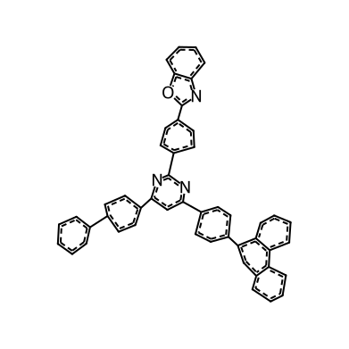 c1ccc(-c2ccc(-c3cc(-c4ccc(-c5cc6ccccc6c6ccccc56)cc4)nc(-c4ccc(-c5nc6ccccc6o5)cc4)n3)cc2)cc1